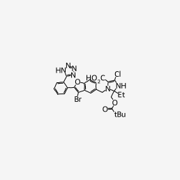 CCC1(COC(=O)C(C)(C)C)NC(Cl)=C(C(=O)O)N1Cc1ccc2oc(-c3ccccc3-c3nnn[nH]3)c(Br)c2c1